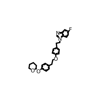 Fc1ccc2c(c1)ncn2CCc1ccc(OCCc2ccc(OC3CCCCO3)cc2)cc1